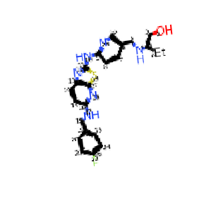 CCC(CO)NCc1ccc(Nc2nc3ccc(NCc4ccc(F)cc4)nc3s2)nc1